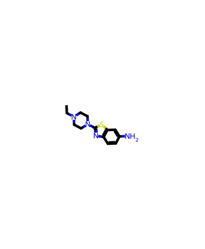 CCN1CCN(c2nc3ccc(N)cc3s2)CC1